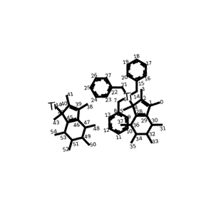 CC1=C(C)[C](C)([Ti]([CH2]c2ccccc2)([CH2]c2ccccc2)[CH2]c2ccccc2)C2=C1C(C)C(C)C(C)C2C.CC1=C(C)[C](C)([Ti])C2=C1C(C)C(C)C(C)C2C